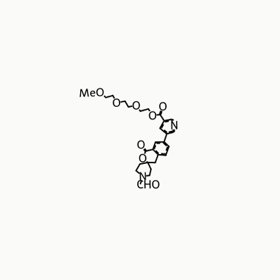 COCCOCCOCCOC(=O)c1cncc(-c2ccc3c(c2)C(=O)OC2(CCN(C=O)CC2)C3)c1